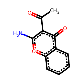 CC(=O)c1c(N)oc2ccccc2c1=O